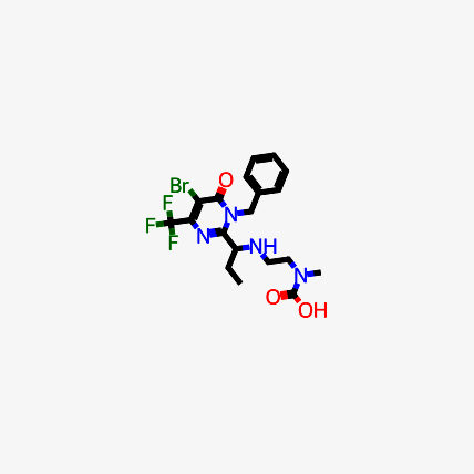 CCC(NCCN(C)C(=O)O)c1nc(C(F)(F)F)c(Br)c(=O)n1Cc1ccccc1